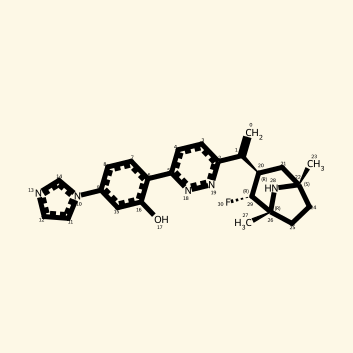 C=C(c1ccc(-c2ccc(-n3ccnc3)cc2O)nn1)[C@H]1C[C@]2(C)CC[C@@](C)(N2)[C@@H]1F